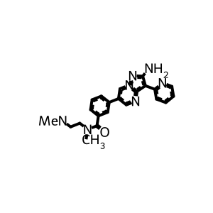 CNCCN(C)C(=O)c1cccc(-c2cnc3c(-c4ccccn4)c(N)nn3c2)c1